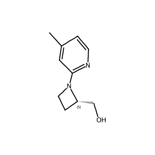 Cc1ccnc(N2CC[C@H]2CO)c1